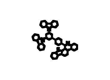 c1ccc2c(c1)nc(-c1ccc(-c3cc(-n4c5ccccc5c5ccccc54)cc(-n4c5ccccc5c5ccccc54)c3)cc1)c1c2ccc2c3ccccc3sc21